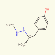 CCCCCNN[C@@H](Cc1ccc(O)cc1)C(=O)O